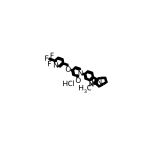 Cl.Cn1c2c(c3ccc(-n4ccc(OCc5ccc(C(F)(F)F)nc5)cc4=O)cc31)C1CCC(C2)N1